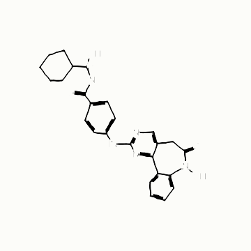 C[C@@H](NC(=O)c1ccc(Nc2ncc3c(n2)-c2ccccc2N(C)C(=O)C3)cc1)C1CCCCC1